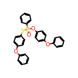 O=P(Oc1ccc(Oc2ccccc2)cc1)(Sc1ccc(Oc2ccccc2)cc1)c1ccccc1